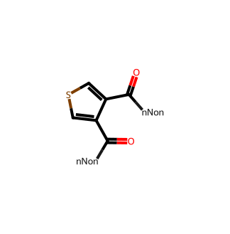 CCCCCCCCCC(=O)c1cscc1C(=O)CCCCCCCCC